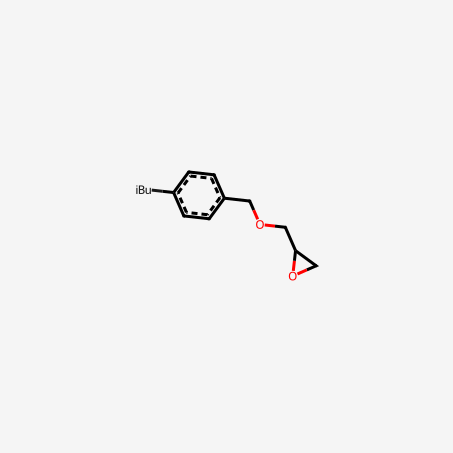 CCC(C)c1ccc(COCC2CO2)cc1